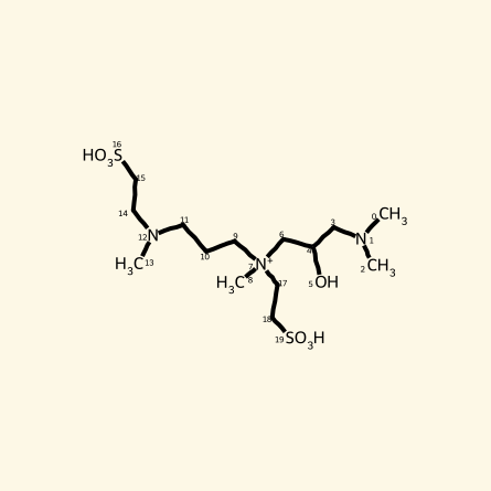 CN(C)CC(O)C[N+](C)(CCCN(C)CCS(=O)(=O)O)CCS(=O)(=O)O